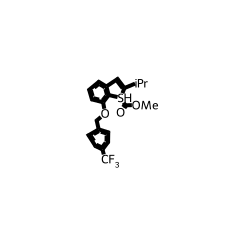 COC(=O)[SH]1C(C(C)C)=Cc2cccc(OCc3ccc(C(F)(F)F)cc3)c21